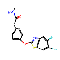 CNC(=O)Cc1ccc(Oc2nc3cc(F)c(F)cc3s2)cc1